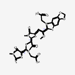 CO/C(C=c1s/c(=c2/s/c(=C3/SC(=S)N(C)C3=O)n(CC(=O)O)c2=O)n(C)c1=O)=C1\Sc2cc3c(cc2N1CC(=O)O)OCO3